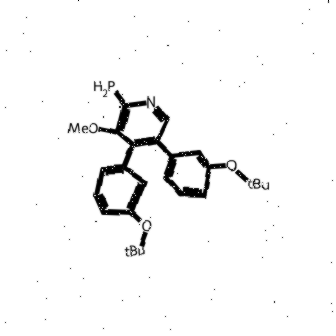 COc1c(P)ncc(-c2cccc(OC(C)(C)C)c2)c1-c1cccc(OC(C)(C)C)c1